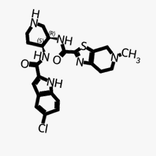 CN1CCc2nc(C(=O)N[C@@H]3CNCC[C@@H]3NC(=O)c3cc4cc(Cl)ccc4[nH]3)sc2C1